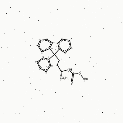 CC(C)(C)OC(=O)N[C@H](CSC(c1ccccc1)(c1ccccc1)c1ccccc1)C(=O)O